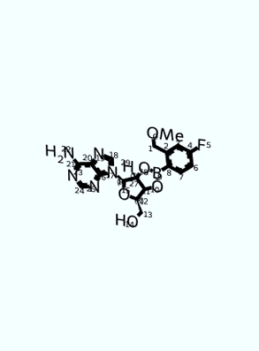 COCc1cc(F)ccc1B1OC2[C@@H](CO)O[C@@H](n3cnc4c(N)ncnc43)[C@H]2O1